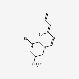 C=C/C=C(CC)/N=C\N(CNCC)CC(C)C(=O)OCC